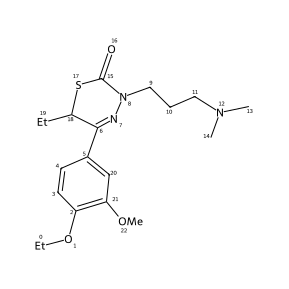 CCOc1ccc(C2=NN(CCCN(C)C)C(=O)SC2CC)cc1OC